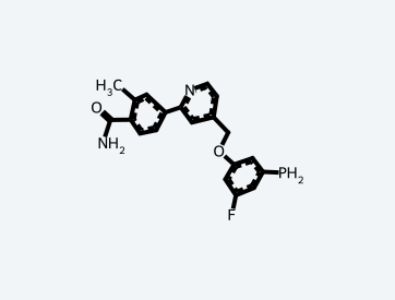 Cc1cc(-c2cc(COc3cc(F)cc(P)c3)ccn2)ccc1C(N)=O